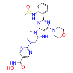 CN(CC1Nc2c(N3CCOCC3)nc(-c3ccccc3N[S+](C)[O-])nc2N1C)c1ncc(C(=O)NO)cn1